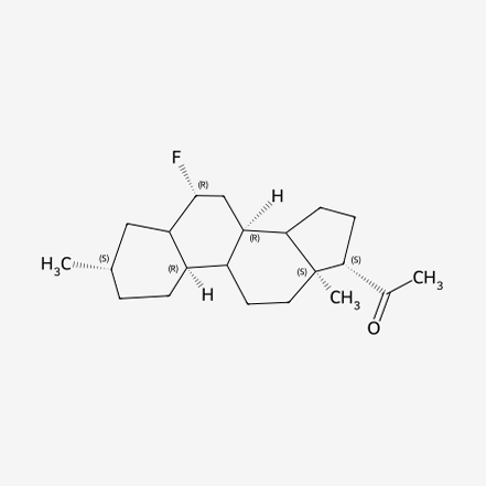 CC(=O)[C@H]1CCC2[C@@H]3C[C@@H](F)C4C[C@@H](C)CC[C@@H]4C3CC[C@@]21C